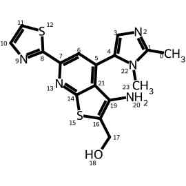 Cc1ncc(-c2cc(-c3nccs3)nc3sc(CO)c(N)c23)n1C